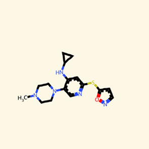 CN1CCN(c2cnc(Sc3ccno3)cc2NC2CC2)CC1